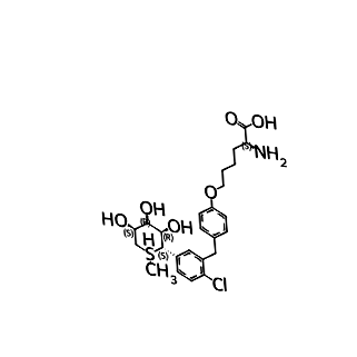 C[SH]1C[C@@H](O)[C@@H](O)[C@@H](O)[C@@H]1c1ccc(Cl)c(Cc2ccc(OCCCC[C@H](N)C(=O)O)cc2)c1